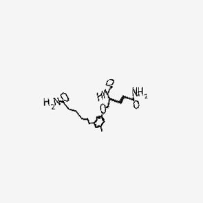 Cc1cc(CCCCCC(N)=O)cc(OC[C@H](CCC(N)=O)NC=O)c1